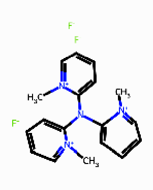 C[n+]1ccccc1N(c1cccc[n+]1C)c1cccc[n+]1C.[F-].[F-].[F-]